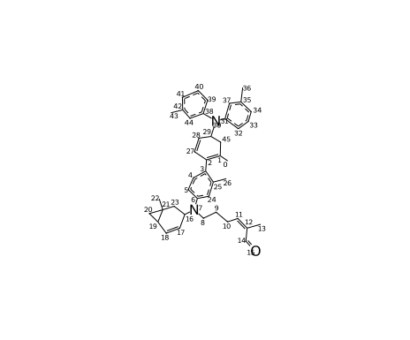 CC1=C(c2ccc(N(CCC/C=C(/C)C=O)C3C=CC4CC4(C)C3)cc2C)C=CC(N(c2cccc(C)c2)c2cccc(C)c2)C1